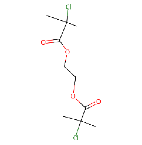 CC(C)(Cl)C(=O)OCCOC(=O)C(C)(C)Cl